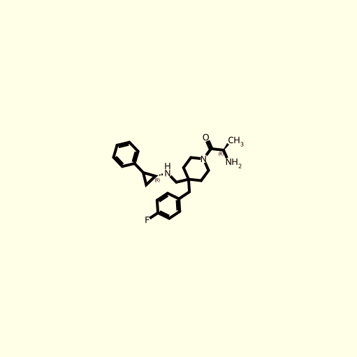 C[C@@H](N)C(=O)N1CCC(CN[C@@H]2CC2c2ccccc2)(Cc2ccc(F)cc2)CC1